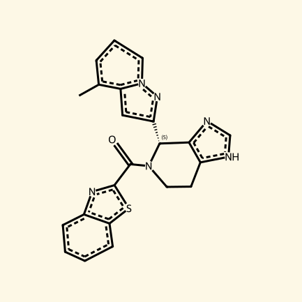 Cc1cccn2nc([C@@H]3c4nc[nH]c4CCN3C(=O)c3nc4ccccc4s3)cc12